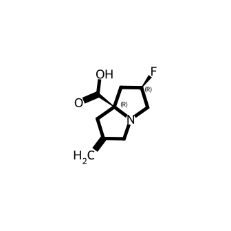 C=C1CN2C[C@H](F)C[C@@]2(C(=O)O)C1